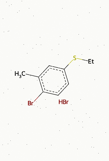 Br.CCSc1ccc(Br)c(C)c1